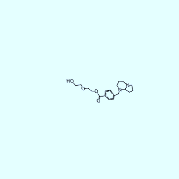 O=C(OCCOCCO)c1ccc(CN2CCCN3CCCC32)cc1